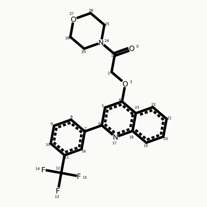 O=C(COc1cc(-c2cccc(C(F)(F)F)c2)nc2ccccc12)N1CCOCC1